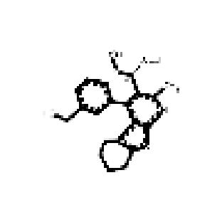 Cc1nc2sc3c(c2c(-c2cccc(CO)c2)c1[C@H](OC(C)(C)C)C(=O)O)CCCC3